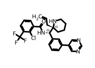 C=CC[C@]1([C@@H](NC(=O)c2cccc(C(F)(F)F)c2Cl)c2cccc(-c3cncnc3)c2)CCCCN1